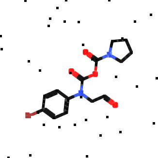 O=CCN(C(=O)OC(=O)N1CCCC1)c1ccc(Br)cc1